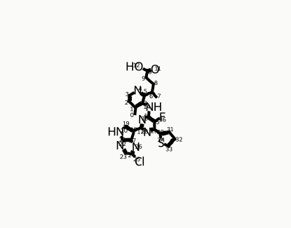 Cc1ccnc(C(C)CCC(=O)O)c1Nc1nc(-c2c[nH]c3ncc(Cl)nc23)nc(-c2cccs2)c1F